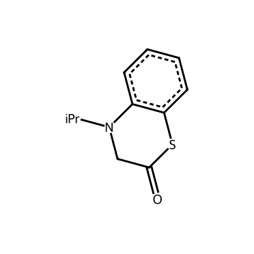 CC(C)N1CC(=O)Sc2ccccc21